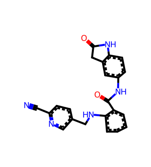 N#Cc1ccc(CNc2ccccc2C(=O)Nc2ccc3c(c2)CC(=O)N3)cn1